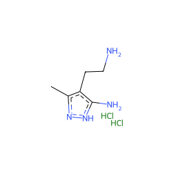 Cc1n[nH]c(N)c1CCN.Cl.Cl